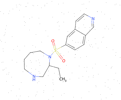 CCC1CNCCCCN1S(=O)(=O)c1ccc2cnccc2c1